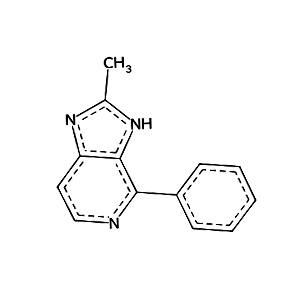 Cc1nc2ccnc(-c3ccccc3)c2[nH]1